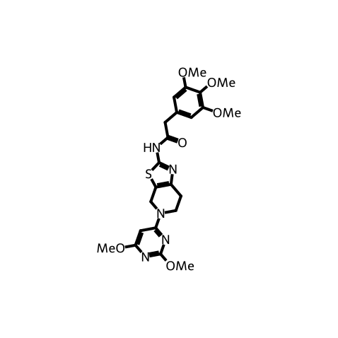 COc1cc(N2CCc3nc(NC(=O)Cc4cc(OC)c(OC)c(OC)c4)sc3C2)nc(OC)n1